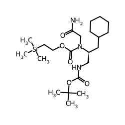 CC(C)(C)OC(=O)NC[C@H](CC1CCCCC1)N(CC(N)=O)C(=O)OCC[Si](C)(C)C